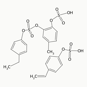 C=Cc1ccc(OS(=O)(=O)O)cc1.CCc1ccc(OS(=O)(=O)Oc2cc(C)ccc2OS(=O)(=O)O)cc1